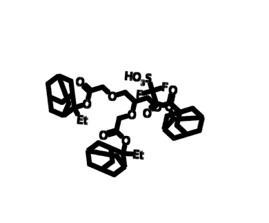 CCC1(OC(=O)COCC(COC(=O)C23CC4CC(C2)C(OC(=O)C(F)(F)S(=O)(=O)O)C(C4)C3)OCC(=O)OC2(CC)C3CC4CC(C3)CC2C4)C2CC3CC(C2)CC1C3